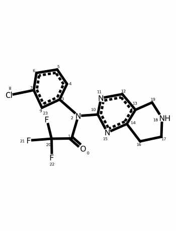 O=C(N(c1cccc(Cl)c1)c1ncc2c(n1)CCNC2)C(F)(F)F